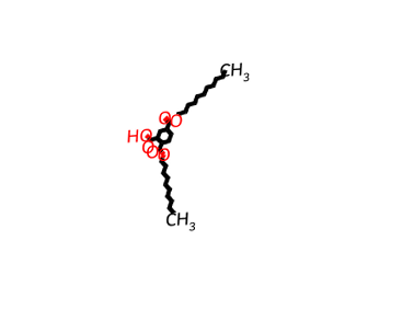 CCCCCCCCCCCOC(=O)C1CCC(C(=O)OCCCCCCCCCCC)C(C(=O)O)C1